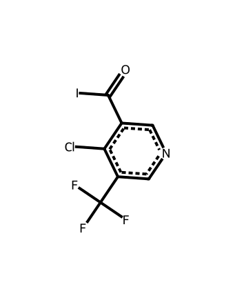 O=C(I)c1cncc(C(F)(F)F)c1Cl